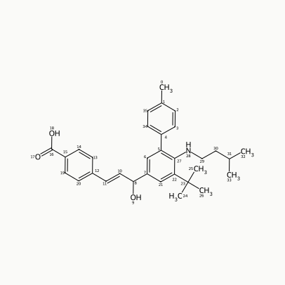 Cc1ccc(-c2cc(C(O)C=Cc3ccc(C(=O)O)cc3)cc(C(C)(C)C)c2NCCC(C)C)cc1